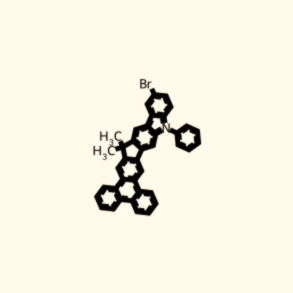 CC1(C)c2cc3c4ccccc4c4ccccc4c3cc2-c2cc3c(cc21)c1cc(Br)ccc1n3-c1ccccc1